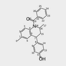 Cc1ccc2c(c1)C(c1ccc(O)cc1)CC(C)N2C(=O)c1ccccc1